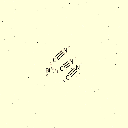 [Bi+3].[C-]#N.[C-]#N.[C-]#N